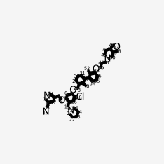 Cc1c(COc2cc(OCc3cncc(C#N)c3)c(CN3CCCCC3)cc2Cl)cccc1-c1cccc(OCCCN2CCC3COCC3C2)c1C